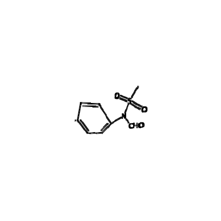 CS(=O)(=O)N(C=O)c1cc[c]cc1